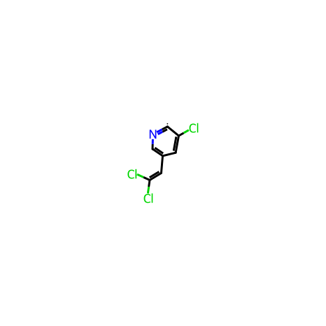 ClC(Cl)=Cc1cn[c]c(Cl)c1